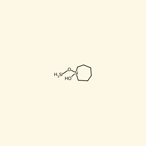 O[Si]1(O[SiH3])CCCCCC1